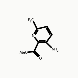 COC(=O)c1nc(C(F)(F)F)ccc1N